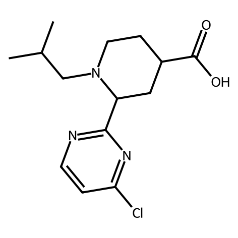 CC(C)CN1CCC(C(=O)O)CC1c1nccc(Cl)n1